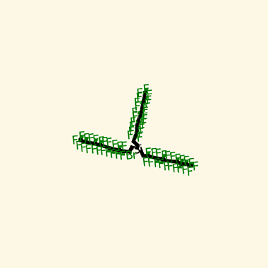 FC(F)(F)C(F)(F)C(F)(F)C(F)(F)C(F)(F)C(F)(F)C(F)(F)C(F)(F)C(F)(F)C(F)(F)CC[Si](Br)(CCC(F)(F)C(F)(F)C(F)(F)C(F)(F)C(F)(F)C(F)(F)C(F)(F)C(F)(F)C(F)(F)C(F)(F)F)CCC(F)(F)C(F)(F)C(F)(F)C(F)(F)C(F)(F)C(F)(F)C(F)(F)C(F)(F)C(F)(F)C(F)(F)F